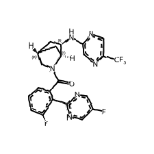 O=C(c1cccc(F)c1-c1ncc(F)cn1)N1C[C@@H]2C[C@@H](Nc3cnc(C(F)(F)F)cn3)[C@@H]1C2